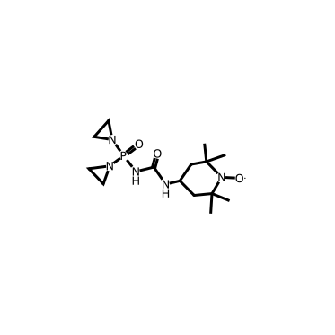 CC1(C)CC(NC(=O)NP(=O)(N2CC2)N2CC2)CC(C)(C)N1[O]